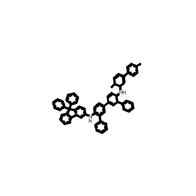 Cc1ccc(C2=CC(NC3C=CC(c4ccc(Nc5ccc6c(c5)-c5ccccc5C6(c5ccccc5)c5ccccc5)c(-c5ccccc5)c4)=CC3c3ccccc3)C(C)C=C2)cc1